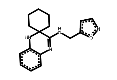 c1ccc2c(c1)N=C(NCc1ccno1)C1(CCCCC1)N2